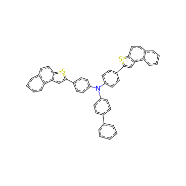 c1ccc(-c2ccc(N(c3ccc(-c4cc5c(ccc6ccccc65)s4)cc3)c3ccc(-c4cc5c(ccc6ccccc65)s4)cc3)cc2)cc1